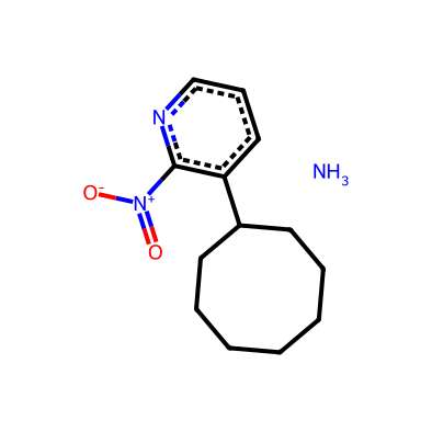 N.O=[N+]([O-])c1ncccc1C1CCCCCCC1